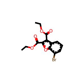 CCOC(=O)c1oc2c(Br)cccc2c1C(=O)OCC